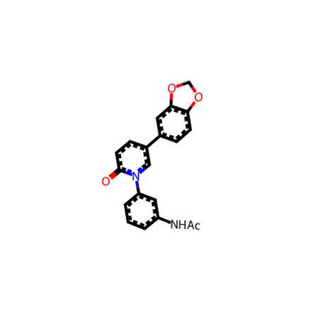 CC(=O)Nc1cccc(-n2cc(-c3ccc4c(c3)OCO4)ccc2=O)c1